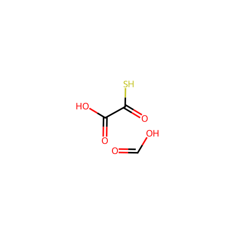 O=C(O)C(=O)S.O=CO